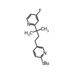 CC(C)(C)c1ccc(CCC(C)(C)c2cc(F)ccn2)cn1